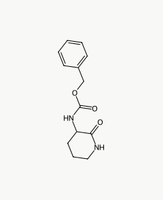 O=C(NC1CCCNC1=O)OCc1ccccc1